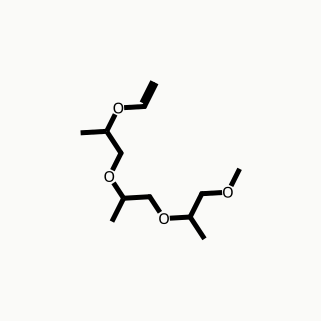 C=COC(C)COC(C)COC(C)COC